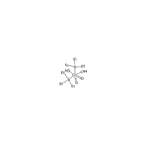 CC[Si](CC)(CC)[Cr](=[O])(=[O])([OH])([OH])[Si](CC)(CC)CC